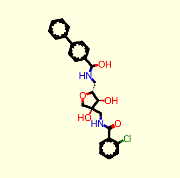 O=C(NC[C@]1(O)CO[C@H](CNC(O)c2ccc(-c3ccccc3)cc2)[C@H]1O)c1ccccc1Cl